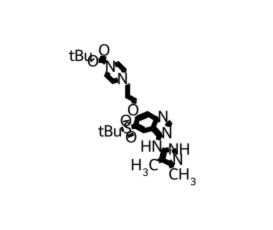 Cc1n[nH]c(Nc2ncnc3cc(OCCCN4CCN(C(=O)OC(C)(C)C)CC4)c(S(=O)(=O)C(C)(C)C)cc23)c1C